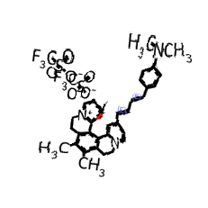 Cc1c(C)c2c(c3c1CC[n+]1ccc(/C=C/C=C/c4ccc(N(C)C)cc4)cc1-3)-c1c3ccccc3cc[n+]1CC2.O=S(=O)([O-])C(F)(F)F.O=S(=O)([O-])C(F)(F)F